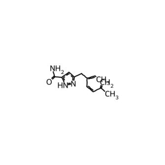 C=C(C)/C=C\C(=C/C)Cc1cc(C(N)=O)[nH]n1